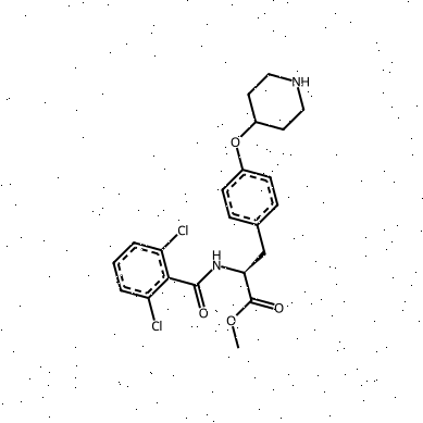 COC(=O)[C@H](Cc1ccc(OC2CCNCC2)cc1)NC(=O)c1c(Cl)cccc1Cl